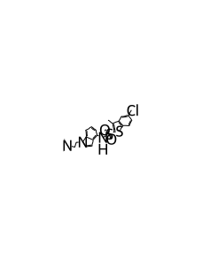 Cc1c(S(=O)(=O)Nc2cccc3c2ccn3CCN(C)C)sc2ccc(Cl)cc12